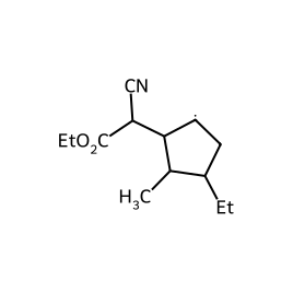 [CH2]CC1C[CH]C(C(C#N)C(=O)OCC)C1C